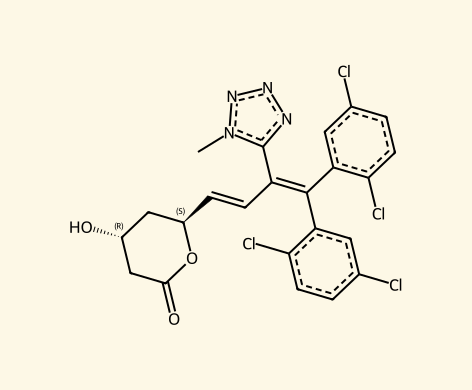 Cn1nnnc1C(C=C[C@@H]1C[C@@H](O)CC(=O)O1)=C(c1cc(Cl)ccc1Cl)c1cc(Cl)ccc1Cl